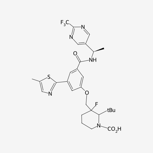 Cc1cnc(-c2cc(OCC3(F)CCCN(C(=O)O)C3C(C)(C)C)cc(C(=O)N[C@H](C)c3cnc(C(F)(F)F)nc3)c2)s1